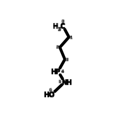 CCCCPNO